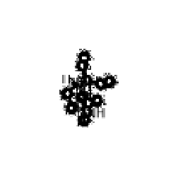 NC(/C=C(\NCNC(N)c1cccc(-c2cccc(Nc3c(Nc4ccccc4)c4ccccc4c4ccccc34)c2)c1)c1ccc2ccccc2c1)c1ccc2ccccc2c1